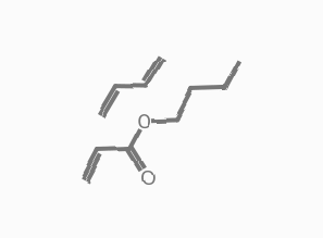 C=CC(=O)OCCCC.C=CC=C